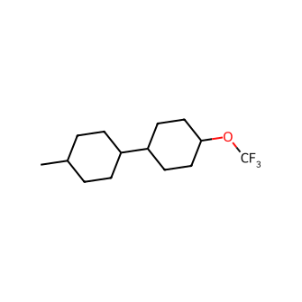 CC1CCC(C2CCC(OC(F)(F)F)CC2)CC1